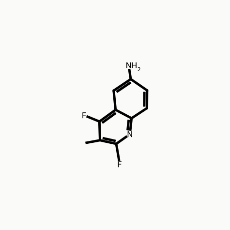 Cc1c(F)nc2ccc(N)cc2c1F